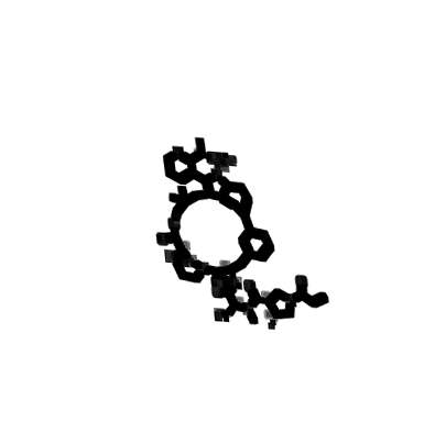 C=CC(=O)N1C[C@H](C(=O)N(C)[C@H](C(=O)N[C@H]2Cc3cccc(c3)-c3ccc4c(c3)c(c(-c3cccnc3[C@H](C)OC)n4CC)CC(C)(C)COC(=O)[C@@H]3CCCN(N3)C2=O)C(C)C)[C@@H](C)C1